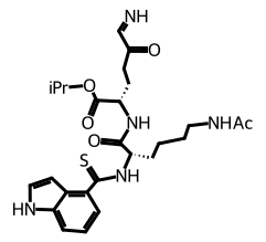 CC(=O)NCCCC[C@H](NC(=S)c1cccc2[nH]ccc12)C(=O)N[C@@H](CCC(=O)C=N)C(=O)OC(C)C